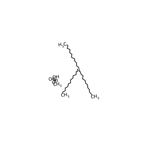 CCCCCCCCCCCCN(CCCCCCCCCCCC)CCCCCCCCCCCC.COS(=O)(=O)O